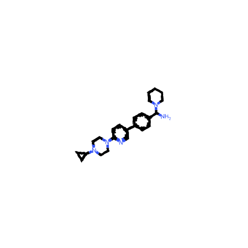 NC(c1ccc(-c2ccc(N3CCN(C4CC4)CC3)nc2)cc1)N1CCCCC1